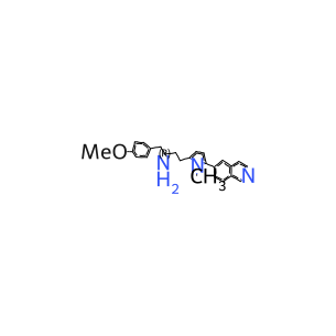 COc1ccc(C[C@H](N)CCc2ccc(-c3ccc4cnccc4c3)n2C)cc1